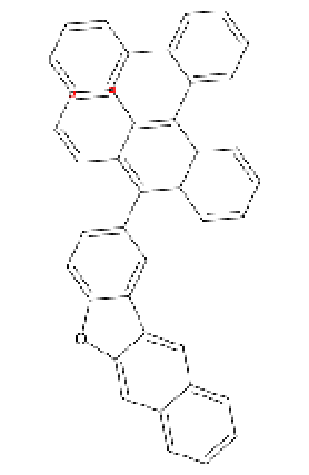 C1=CC2C(c3ccc4oc5cc6ccccc6cc5c4c3)=c3ccccc3=C(c3ccccc3-c3ccccc3)C2C=C1